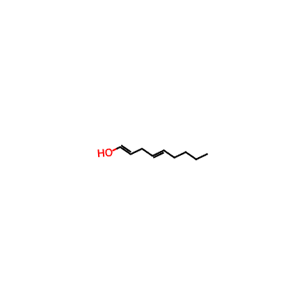 CCCCC=CCC=CO